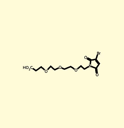 O=C(O)CCOCCOCCOCCN1C(=O)C=C(Br)C1=O